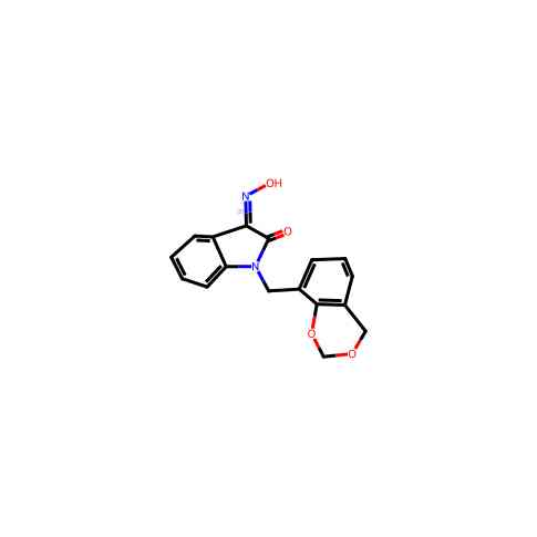 O=C1/C(=N\O)c2ccccc2N1Cc1cccc2c1OCOC2